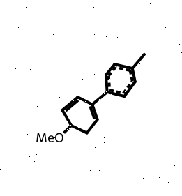 COC1C=CC(c2ccc(C)cc2)=CC1